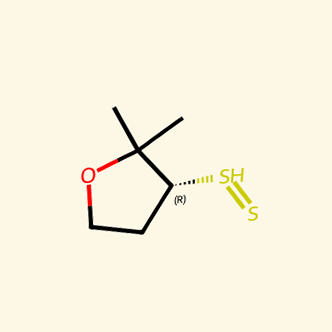 CC1(C)OCC[C@H]1[SH]=S